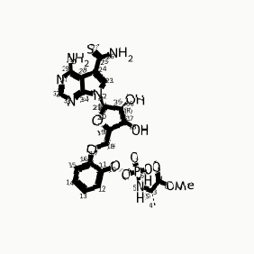 COC(=O)[C@H](C)NP(=O)(O)OOc1ccccc1OCC1O[C@@H](n2cc(C(N)=S)c3c(N)ncnc32)[C@H](O)C1O